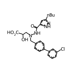 CCCCc1cc(C(=O)NN(Cc2ccc(-c3cccc(Cl)c3)cc2)CC(O)C(=O)O)[nH]n1